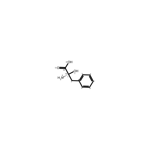 N[C@](O)(Cc1ccccc1)C(=O)O